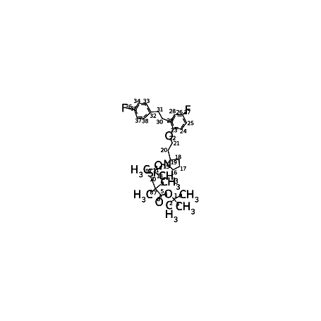 CC(C)(C)OC(=O)C(C)(C)C[Si](C)(C)ON1CCCC1CCOc1ccc(F)cc1CCc1ccc(F)cc1